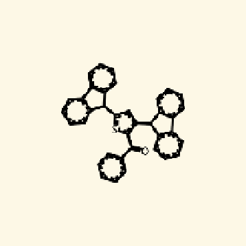 O=C(c1ccccc1)c1sc(C2c3ccccc3-c3ccccc32)cc1C1c2ccccc2-c2ccccc21